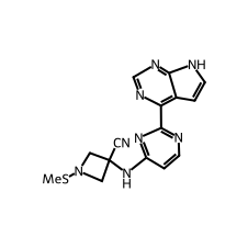 CSN1CC(C#N)(Nc2ccnc(-c3ncnc4[nH]ccc34)n2)C1